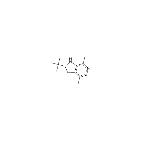 Cc1cnc(C)c2c1CC(C(C)(C)C)N2